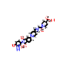 O=C1CCC(N2C(=O)c3ccc(N4CCC5(CC4)CN(CC(=O)N4CCC(C(=O)O)CC4)C5)cc3C2=O)C(=O)N1